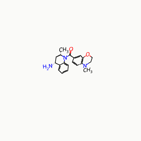 C[C@H]1C[C@@H](N)c2ccccc2N1C(=O)c1ccc2c(c1)OCCN2C